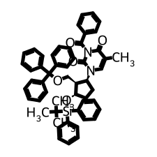 Cc1cn([C@H]2CC[C@H](O[Si](c3ccccc3)(c3ccccc3)C(C)(C)C)[C@H]2COC(c2ccccc2)(c2ccccc2)c2ccccc2)c(=O)n(C(=O)c2ccccc2)c1=O